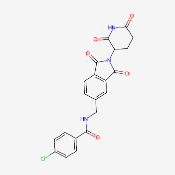 O=C1CCC(N2C(=O)c3ccc(CNC(=O)c4ccc(Cl)cc4)cc3C2=O)C(=O)N1